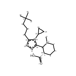 CN1CCC[C@H](C(=O)O)C1c1nnc(CCCC(C)(C)C)n1C1CC1